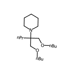 CCCCOCC(CCC)(COCCCC)N1CCCCC1